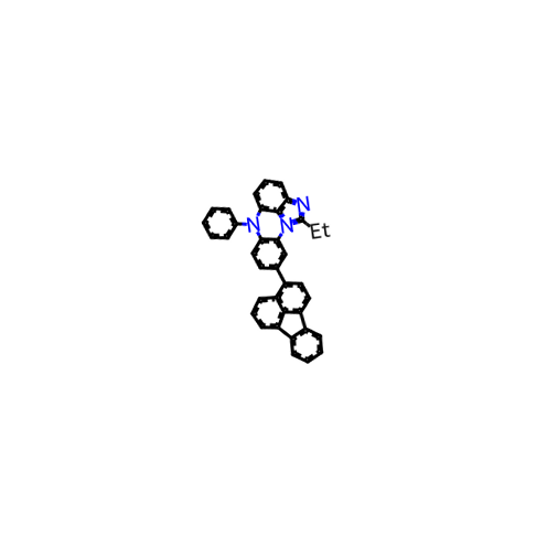 CCc1nc2cccc3c2n1-c1cc(-c2ccc4c5c(cccc25)-c2ccccc2-4)ccc1N3c1ccccc1